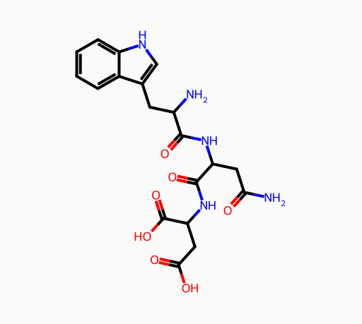 NC(=O)CC(NC(=O)C(N)Cc1c[nH]c2ccccc12)C(=O)NC(CC(=O)O)C(=O)O